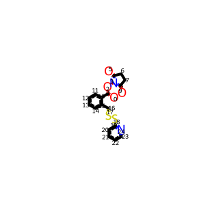 O=C(ON1C(=O)CCC1=O)c1ccccc1CSSc1ccccn1